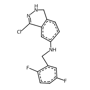 Fc1ccc(F)c(CNc2ccc3c(c2)C(Cl)=NNC3)c1